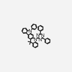 CC1(C)c2ccccc2N(c2nc(-c3ccccc3)nc(-c3ccccc3)n2)c2cc3c(cc21)c1ccccc1n3-c1ccccc1